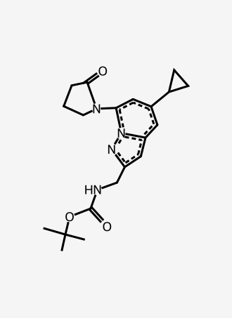 CC(C)(C)OC(=O)NCc1cc2cc(C3CC3)cc(N3CCCC3=O)n2n1